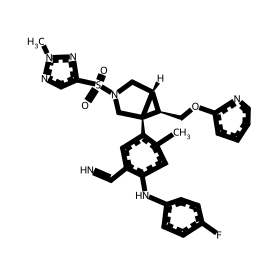 Cc1cc(Nc2ccc(F)cc2)c(C=N)cc1[C@@]12CN(S(=O)(=O)c3cnn(C)n3)C[C@@H]1[C@H]2COc1ccccn1